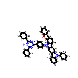 c1ccc(C2=NC(c3ccc(-n4c5cc6c7ccccc7n(-c7ccccc7)c6cc5c5ccc6c7ccccc7oc6c54)cc3)NC(c3ccccc3)N2)cc1